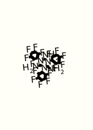 NC1N(c2c(F)c(F)c(F)c(F)c2F)C(N)N(c2c(F)c(F)c(F)c(F)c2F)C(N)N1c1c(F)c(F)c(F)c(F)c1F